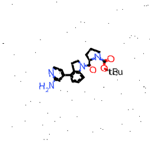 CC(C)(C)OC(=O)N1CCCC1C(=O)N1CCc2c(-c3ccnc(N)c3)cccc21